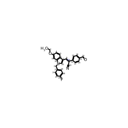 CCOc1ccc2c(/C=C(\C#N)c3ccc(C=O)cc3)cn(Cc3ccc(F)cc3)c2c1